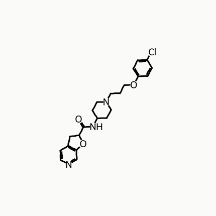 O=C(NC1CCN(CCCOc2ccc(Cl)cc2)CC1)C1Cc2ccncc2O1